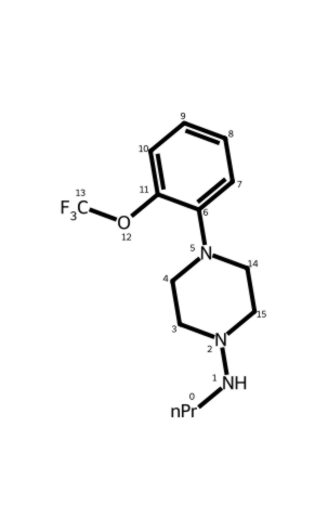 CCCNN1CCN(c2ccccc2OC(F)(F)F)CC1